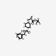 CN(C[C@H]1CC[C@H](C(=O)NCc2ccncc2)CC1)C(=O)OC(C)(C)C